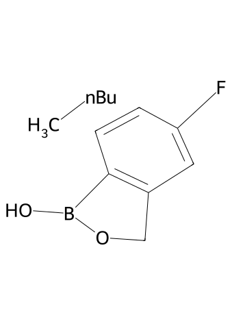 CCCCC.OB1OCc2cc(F)ccc21